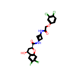 O=C(COc1ccc(Cl)c(Cl)c1)NC12CC(NC(=O)[C@@H]3C[C@H](O)c4cc(F)c(F)cc4O3)(C1)C2